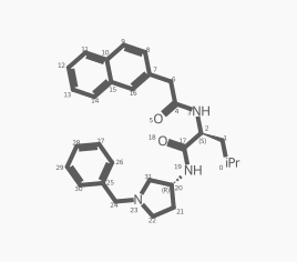 CC(C)C[C@H](NC(=O)Cc1ccc2ccccc2c1)C(=O)N[C@@H]1CCN(Cc2ccccc2)C1